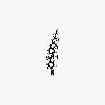 CCOC(=O)CC1COc2cc(NC(=O)c3ccc(C#N)cc3)ccc2C1